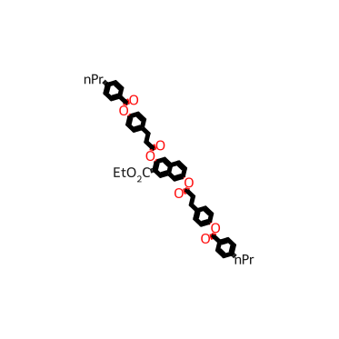 CCCc1ccc(C(=O)Oc2ccc(CCC(=O)Oc3ccc4cc(OC(=O)CCc5ccc(OC(=O)c6ccc(CCC)cc6)cc5)c(C(=O)OCC)cc4c3)cc2)cc1